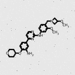 COc1cc(Nc2nccc(-c3ccc(OC4CCOCC4)c(N)c3)n2)ccc1CN1CC(OC)C1